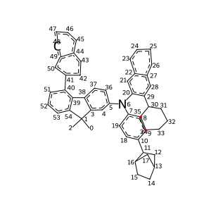 CC1(C)c2cc(N(c3ccc(C4CC5CCC4C5)cc3)c3cc4ccccc4cc3C3CCCCC3)ccc2-c2c(-c3ccc4ccccc4c3)cccc21